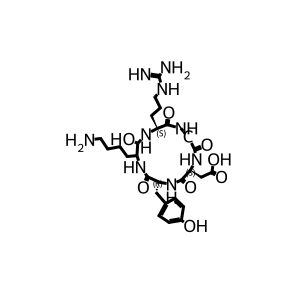 N=C(N)NCCC[C@@H]1NC(O)C(CCCCN)NC(=O)[C@@H](Cc2ccc(O)cc2)NC(=O)[C@H](CC(=O)O)NC(=O)CNC1=O